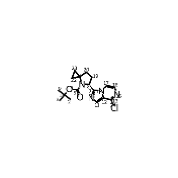 CC(C)(C)OC(=O)N1[C@H](c2ncc3c(Cl)nccn23)CCC12CC2